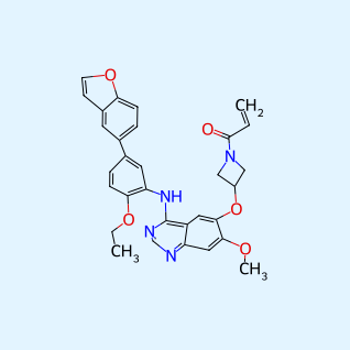 C=CC(=O)N1CC(Oc2cc3c(Nc4cc(-c5ccc6occc6c5)ccc4OCC)ncnc3cc2OC)C1